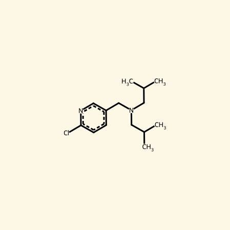 CC(C)CN(Cc1ccc(Cl)nc1)CC(C)C